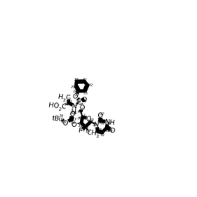 C[C@H](N[P@@](=O)(OC[C@H]1O[C@@H](n2ccc(=O)[nH]c2=O)[C@](C)(F)[C@@H]1OC(=O)OC(C)(C)C)Oc1ccccc1)C(=O)O